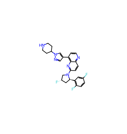 Fc1ccc(F)c([C@H]2C[C@H](F)CN2c2ccc3nccc(-c4cnn(C5CCNCC5)c4)c3n2)c1